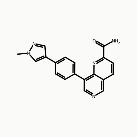 Cn1cc(-c2ccc(-c3cncc4ccc(C(N)=O)nc34)cc2)cn1